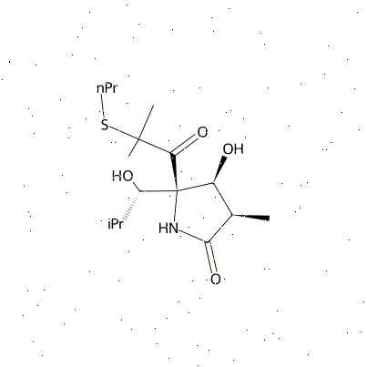 CCCSC(C)(C)C(=O)[C@]1([C@@H](O)C(C)C)NC(=O)[C@H](C)[C@@H]1O